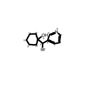 OC1(C(Br)c2cccnc2)CCCCC1